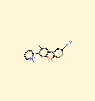 Cc1cc2c(cc1-c1cccc[n+]1C)oc1ccc(C#N)cc12